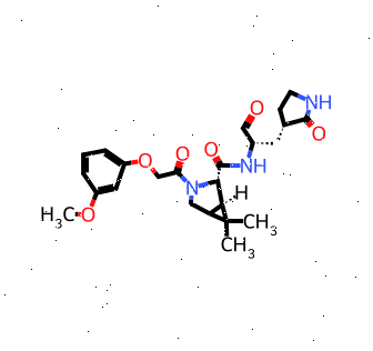 COc1cccc(OCC(=O)N2CC3[C@@H]([C@H]2C(=O)N[C@H](C=O)C[C@@H]2CCNC2=O)C3(C)C)c1